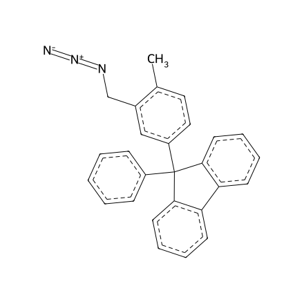 Cc1ccc(C2(c3ccccc3)c3ccccc3-c3ccccc32)cc1CN=[N+]=[N-]